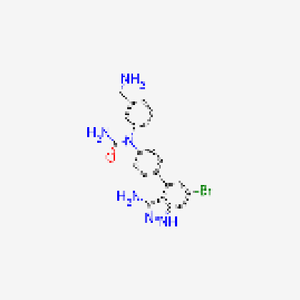 NCc1cccc(N(C(N)=O)c2ccc(-c3cc(Br)cc4[nH]nc(N)c34)cc2)c1